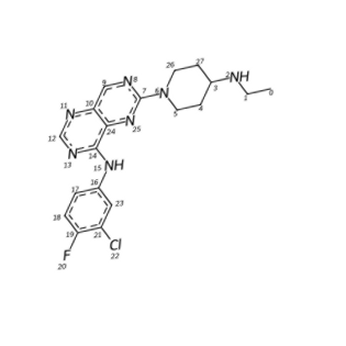 CCNC1CCN(c2ncc3ncnc(Nc4ccc(F)c(Cl)c4)c3n2)CC1